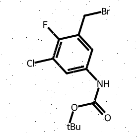 CC(C)(C)OC(=O)Nc1cc(Cl)c(F)c(CBr)c1